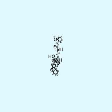 COc1ccccc1CCC(=O)NCCCCC(NS(=O)(=O)c1ccc2oc3ccccc3c2c1)C(=O)O